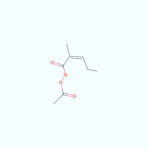 CCC=C(C)C(=O)OOC(C)=O